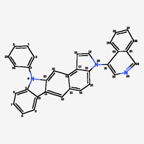 c1ccc(-n2c3ccccc3c3cc4ccc5c(ccn5-c5cncc6ccccc56)c4cc32)cc1